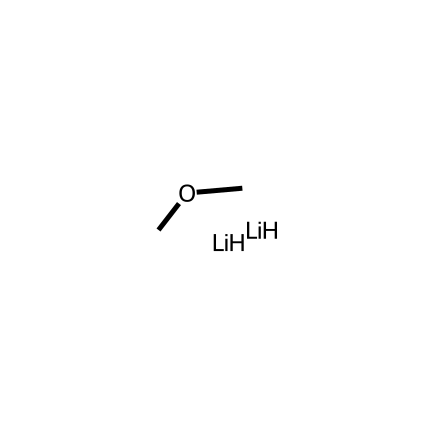 COC.[LiH].[LiH]